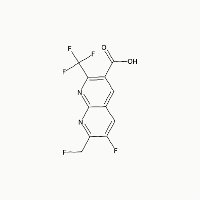 O=C(O)c1cc2cc(F)c(CF)nc2nc1C(F)(F)F